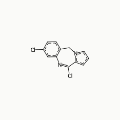 ClC1=Nc2cc(Cl)ccc2Cn2cccc21